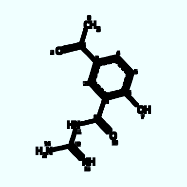 CC(=O)c1ccc(O)c(C(=O)NC(=N)N)c1